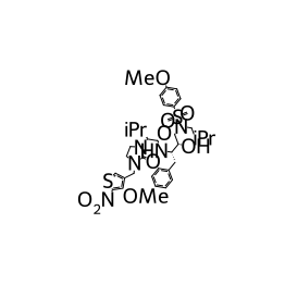 COc1ccc(S(=O)(=O)N(CC(C)C)C[C@H](O)[C@H](Cc2ccccc2)NC(=O)[C@H](C(C)C)N2CCN(Cc3csc([N+](=O)[O-])c3OC)C2=O)cc1